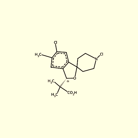 Cc1cc2c(cc1Cl)C1(CCN(Cl)CC1)O[C@@H]2C(C)(C)C(=O)O